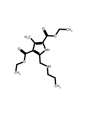 CCCNCc1[nH]c(C(=O)OCC)c(C)c1C(=O)OCC